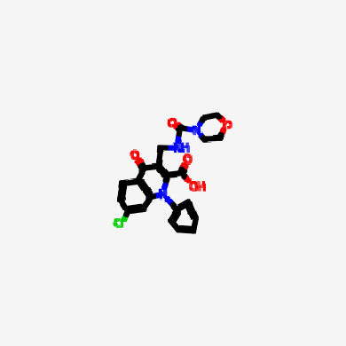 O=C(O)c1c(CNC(=O)N2CCOCC2)c(=O)c2ccc(Cl)cc2n1-c1ccccc1